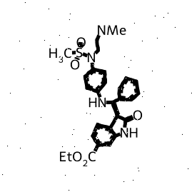 CCOC(=O)c1ccc2c(c1)NC(=O)C2=C(Nc1ccc(N(CCNC)S(C)(=O)=O)cc1)c1ccccc1